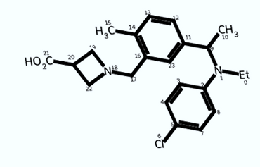 CCN(c1ccc(Cl)cc1)C(C)c1ccc(C)c(CN2CC(C(=O)O)C2)c1